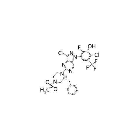 CS(=O)(=O)N1CCN(c2ncc3c(n2)c(Cl)nn3-c2cc(C(F)(F)F)c(Cl)c(O)c2F)[C@H](Cc2ccccc2)C1